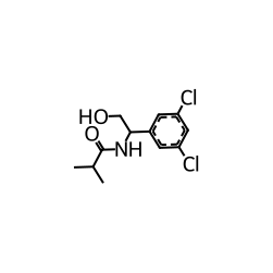 CC(C)C(=O)NC(CO)c1cc(Cl)cc(Cl)c1